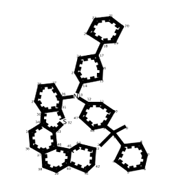 CC(C)(c1ccccc1)c1ccc(N(c2ccc(-c3ccccc3)cc2)c2cccc3c2sc2c3ccc3ccc4ccccc4c32)cc1